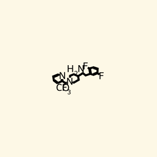 NC(Cc1cc(F)ccc1F)C1CCN(C(=O)c2ncccc2C(F)(F)F)CC1